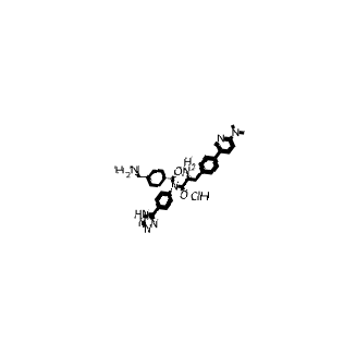 CN(C)c1ccc(-c2ccc(C[C@H](N)C(=O)N(c3ccc(-c4nnn[nH]4)cc3)C(=O)[C@H]3CC[C@H](CN)CC3)cc2)cn1.Cl